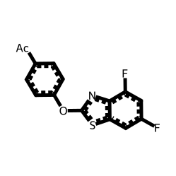 CC(=O)c1ccc(Oc2nc3c(F)cc(F)cc3s2)cc1